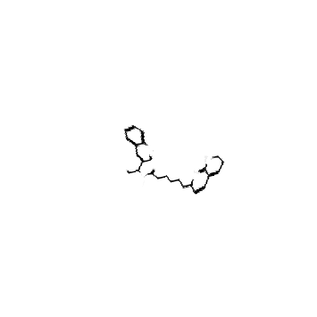 O=C(O)CC(NC(=O)CCCCCC1C=CC2=CCCNC2=N1)c1cnc2ccccc2c1